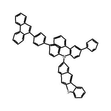 c1ccc(-c2ccc(N(c3ccc(-c4ccc(-c5cc6ccccc6c6ccccc56)cc4)cc3)c3ccc4cc5sc6ccccc6c5cc4c3)c(-c3ccccc3)c2)cc1